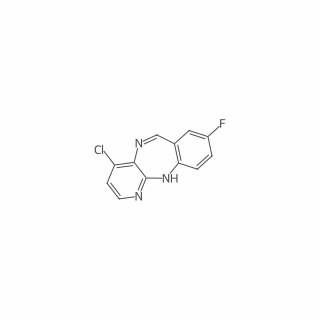 Fc1ccc2c(c1)C=Nc1c(Cl)ccnc1N2